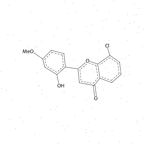 COc1ccc(-c2cc(=O)c3cccc(Cl)c3o2)c(O)c1